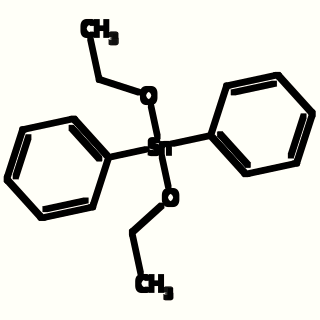 CC[O][Sn]([O]CC)([c]1ccccc1)[c]1ccccc1